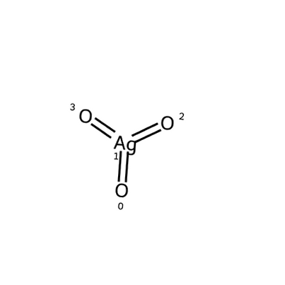 [O]=[Ag](=[O])=[O]